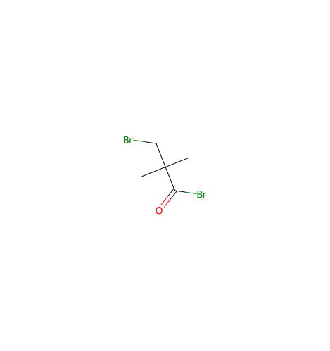 CC(C)(CBr)C(=O)Br